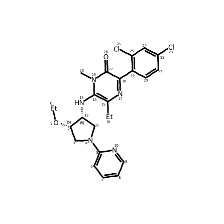 CCO[C@H]1CN(c2ccccn2)C[C@H]1Nc1c(CC)nc(-c2ccc(Cl)cc2Cl)c(=O)n1C